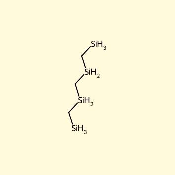 [SiH3]C[SiH2]C[SiH2]C[SiH3]